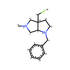 CN1CC2N(Cc3ccccc3)CCC2(CF)C1